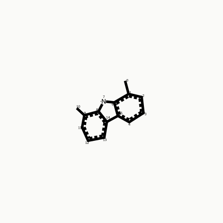 Cc1cccc2c1[N]c1c(C)cccc1-2